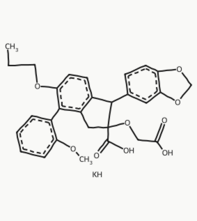 CCCOc1ccc2c(c1-c1ccccc1OC)CC(OCC(=O)O)(C(=O)O)C2c1ccc2c(c1)OCO2.[KH]